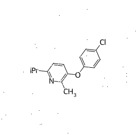 Cc1nc(C(C)C)ccc1Oc1ccc(Cl)cc1